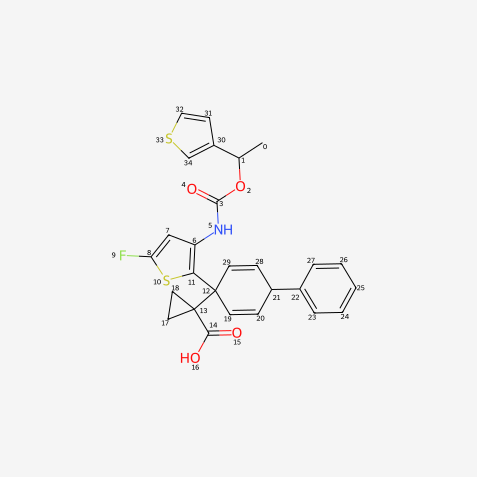 CC(OC(=O)Nc1cc(F)sc1C1(C2(C(=O)O)CC2)C=CC(c2ccccc2)C=C1)c1ccsc1